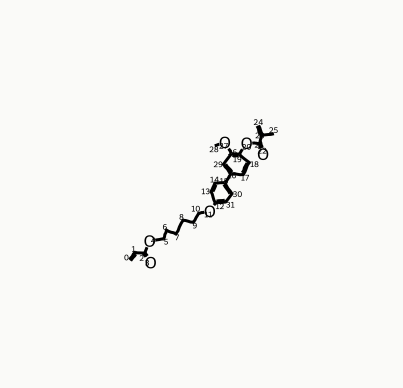 C=CC(=O)OCCCCCCOc1ccc(-c2ccc(OC(=O)C(=C)C)c(OC)c2)cc1